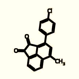 Cc1cc(-c2ccc(Cl)cc2)c2c3c(cccc13)C(=O)C2=O